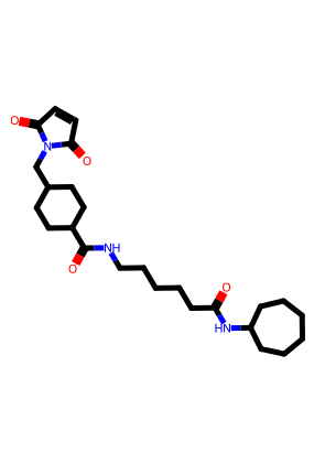 O=C(CCCCCNC(=O)C1CCC(CN2C(=O)C=CC2=O)CC1)NC1CCCCCC1